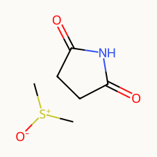 C[S+](C)[O-].O=C1CCC(=O)N1